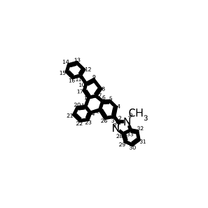 Cn1c(-c2ccc3c4ccc(-c5ccccc5)cc4c4ccccc4c3c2)nc2ccccc21